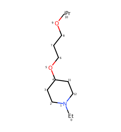 CCN1CCC(OCCCOC(C)C)CC1